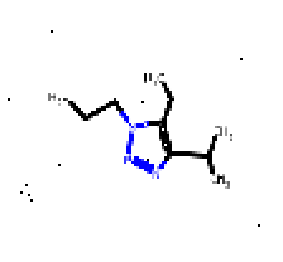 CCCn1nnc(C(C)C)c1CC